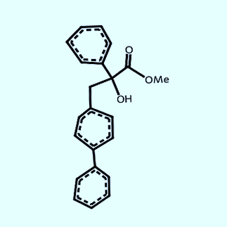 COC(=O)C(O)(Cc1ccc(-c2ccccc2)cc1)c1ccccc1